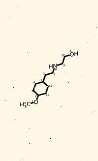 COC1CCC(CCNCCO)CC1